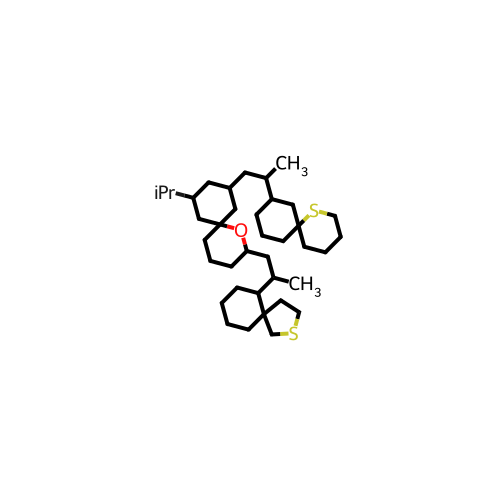 CC(C)C1CC(CC(C)C2CCCC3(CCCCS3)C2)CC2(CCCC(CC(C)C3CCCCC34CCSC4)O2)C1